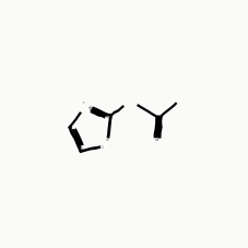 CC(=O)Oc1ncco1